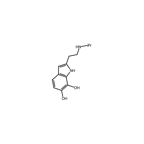 CC(C)NCCc1cc2ccc(O)c(O)c2[nH]1